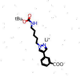 CC(C)(C)OC(=O)NCCCCCn1cc(-c2cccc(C(=O)[O-])c2)cn1.[Li+]